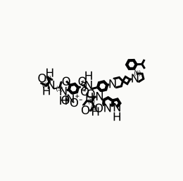 CC(C)c1ccccc1[C@@H]1CCCN1C1CC2(CCN(c3ccc(C(=O)NS(=O)(=O)c4cc5c(c([N+](=O)[O-])c4)N[C@@H](CN4C[C@@H]6C[C@H]4CO6)CO5)c(N4C[C@H]5CCOC[C@H]5Oc5nc6[nH]ccc6cc54)c3)CC2)C1